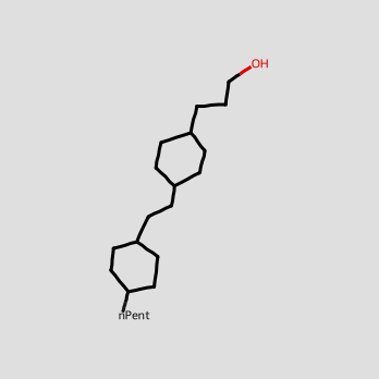 CCCCCC1CCC(CCC2CCC(CCCO)CC2)CC1